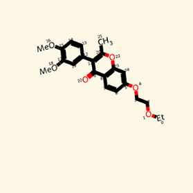 CCOCCOc1ccc2c(=O)c(-c3ccc(OC)c(OC)c3)c(C)oc2c1